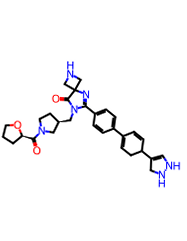 O=C([C@H]1CCCO1)N1CC[C@@H](CN2C(=O)C3(CNC3)N=C2c2ccc(C3=CCC(C4=CNNC4)C=C3)cc2)C1